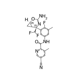 Cc1cc(C#N)cnc1C(=O)Nc1cc(C)c(F)c([C@@]2(C(F)F)N=C(N)O[C@@H]3CC32)c1